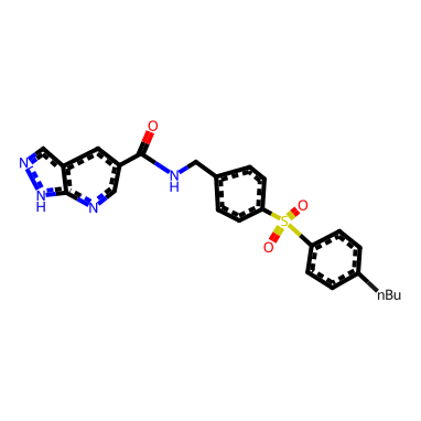 CCCCc1ccc(S(=O)(=O)c2ccc(CNC(=O)c3cnc4[nH]ncc4c3)cc2)cc1